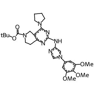 COc1cc(-n2cnc(Nc3nc4c(c(N5CCCC5)n3)CN(C(=O)OC(C)(C)C)CC4)c2)cc(OC)c1OC